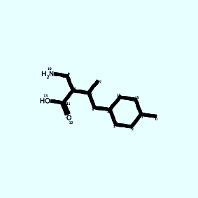 CC1CCC(CC(C)C(CN)C(=O)O)CC1